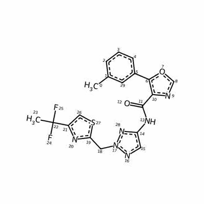 Cc1cccc(-c2ocnc2C(=O)Nc2cnn(Cc3nc(C(C)(F)F)cs3)n2)c1